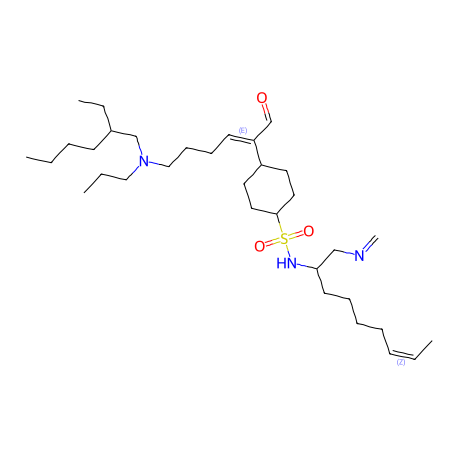 C=NCC(CCCC/C=C\C)NS(=O)(=O)C1CCC(/C(C=O)=C\CCCN(CCC)CC(CC)CCCC)CC1